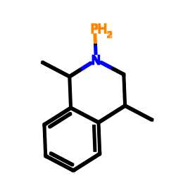 CC1CN(P)C(C)c2ccccc21